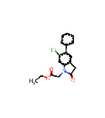 CCOC(=O)CN1C(=O)Cc2cc(-c3ccccc3)c(Cl)cc21